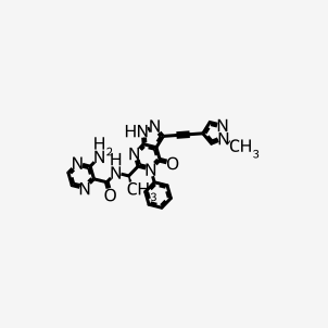 C[C@@H](NC(=O)c1nccnc1N)c1nc2[nH]nc(C#Cc3cnn(C)c3)c2c(=O)n1-c1ccccc1